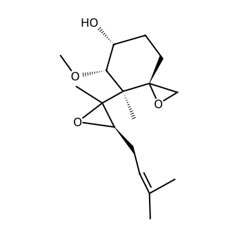 CO[C@@H]1[C@H](O)CC[C@]2(CO2)[C@@]1(C)C1(C)O[C@@H]1CC=C(C)C